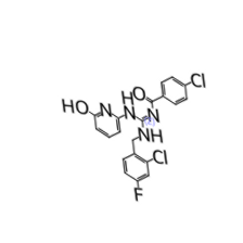 O=C(/N=C(/NCc1ccc(F)cc1Cl)Nc1cccc(O)n1)c1ccc(Cl)cc1